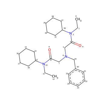 CCN(C(=O)CN(CC(=O)N(CC)C1CCCCC1)Cc1ccccc1)C1CCCCC1